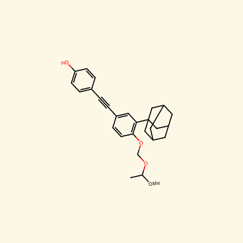 COC(C)OCOc1ccc(C#Cc2ccc(O)cc2)cc1C12CC3CC(CC(C3)C1)C2